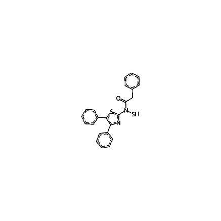 O=C(Cc1ccccc1)N(S)c1nc(-c2ccccc2)c(-c2ccccc2)s1